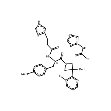 CCC(=O)Nc1c[nH]cn1.CCCCCC1(c2ccccc2F)CN(C(=O)[C@@H](Cc2ccc(OC)cc2)NC(=O)CCc2c[nH]cn2)C1